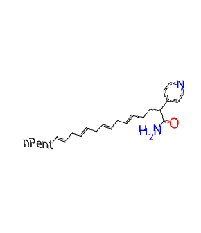 CCCCCC=CCC=CCC=CCC=CCCC(C(N)=O)c1ccncc1